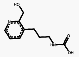 O=C(O)NCCCc1cccnc1CO